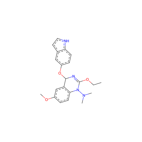 CCOC1=NC(Oc2ccc3[nH]ccc3c2)c2cc(OC)ccc2N1N(C)C